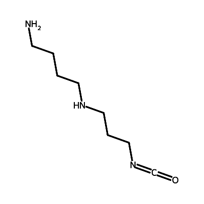 NCCCCNCCCN=C=O